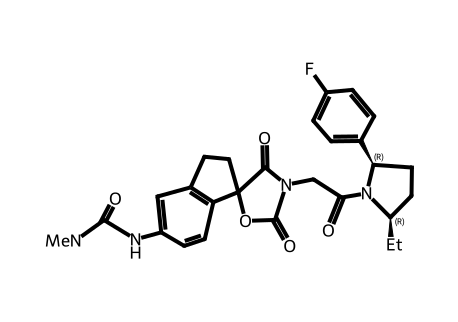 CC[C@@H]1CC[C@H](c2ccc(F)cc2)N1C(=O)CN1C(=O)OC2(CCc3cc(NC(=O)NC)ccc32)C1=O